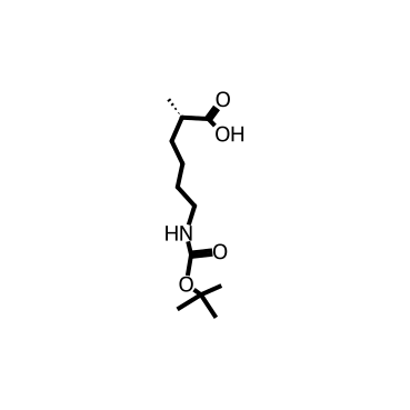 C[C@@H](CCCCNC(=O)OC(C)(C)C)C(=O)O